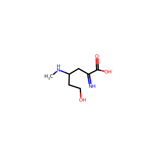 CNC(CCO)CC(=N)C(=O)O